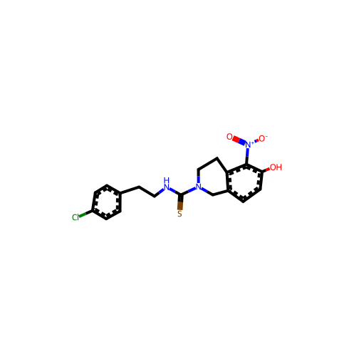 O=[N+]([O-])c1c(O)ccc2c1CCN(C(=S)NCCc1ccc(Cl)cc1)C2